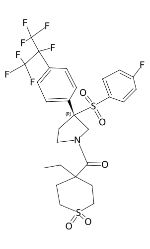 CCC1(C(=O)N2CC[C@](c3ccc(C(F)(C(F)(F)F)C(F)(F)F)cc3)(S(=O)(=O)c3ccc(F)cc3)C2)CCS(=O)(=O)CC1